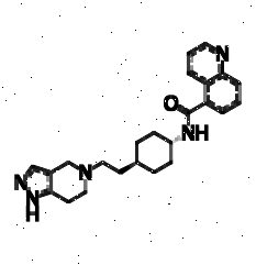 O=C(N[C@H]1CC[C@H](CCN2CCc3[nH]ncc3C2)CC1)c1cccc2ncccc12